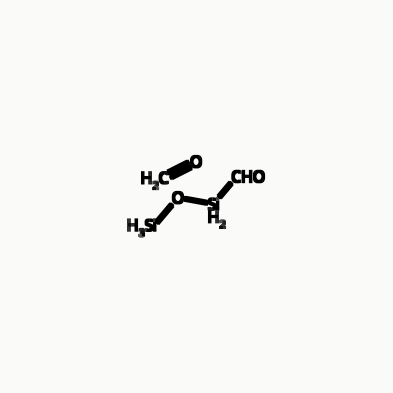 C=O.O=C[SiH2]O[SiH3]